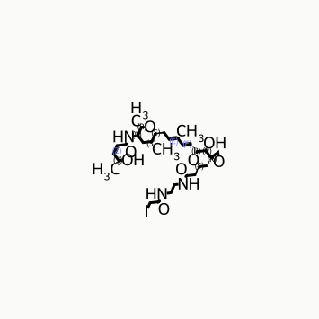 CC(/C=C/[C@H]1O[C@H](CC(=O)NCCNC(=O)CI)C[C@@]2(CO2)[C@@H]1O)=C\C[C@@H]1O[C@H](C)[C@H](NC(=O)/C=C\[C@H](C)O)C[C@@H]1C